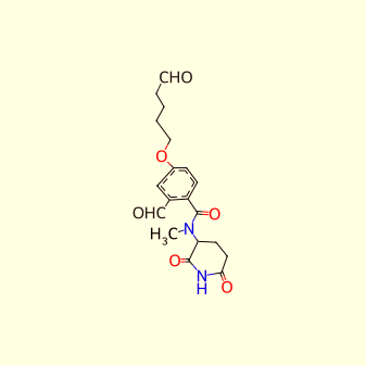 CN(C(=O)c1ccc(OCCCCC=O)cc1C=O)C1CCC(=O)NC1=O